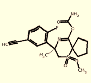 C#Cc1ccc(F)c([C@]2(C)CS(=O)(=NC)C3(CCCC3)C(OC(N)=O)=N2)c1